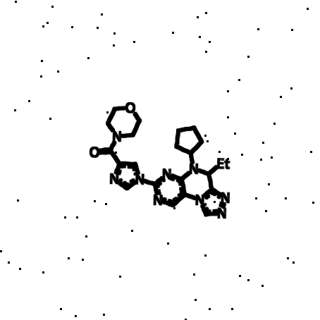 CCC1c2nncn2-c2cnc(-n3cnc(C(=O)N4CCOCC4)c3)nc2N1C1CCCC1